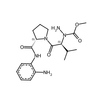 COC(=O)N(N)[C@H](C(=O)N1CCC[C@H]1C(=O)Nc1ccccc1N)C(C)C